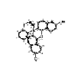 Oc1ccc2c3c(ccc2c1)C1(c2ccccc2Cc2ccccc21)c1ccc2cc(O)ccc2c1O3